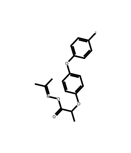 CC(C)=NOC(=O)C(C)Oc1ccc(Oc2ccc(I)cc2)cc1